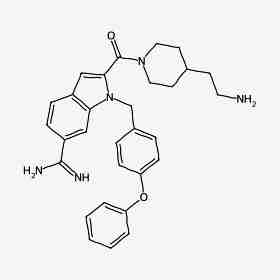 N=C(N)c1ccc2cc(C(=O)N3CCC(CCN)CC3)n(Cc3ccc(Oc4ccccc4)cc3)c2c1